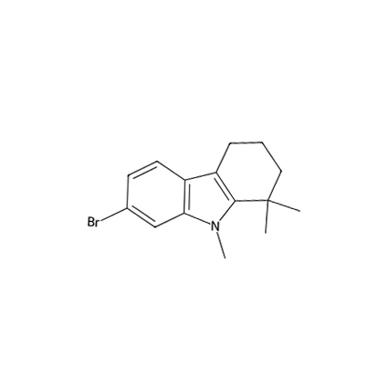 Cn1c2c(c3ccc(Br)cc31)CCCC2(C)C